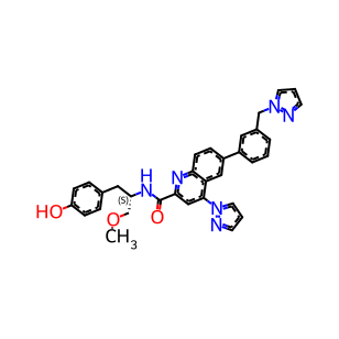 COC[C@H](Cc1ccc(O)cc1)NC(=O)c1cc(-n2cccn2)c2cc(-c3cccc(Cn4cccn4)c3)ccc2n1